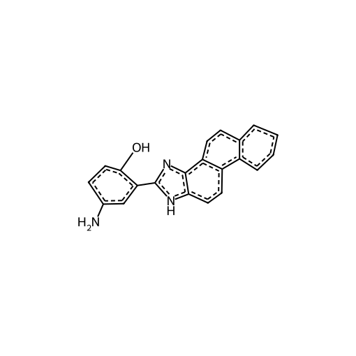 Nc1ccc(O)c(-c2nc3c(ccc4c5ccccc5ccc43)[nH]2)c1